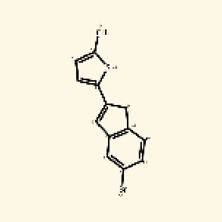 Cc1ccc(C2=Cc3cc(Br)ccc3C2)s1